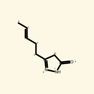 C/C=C/CCC1=NNC(=O)C1